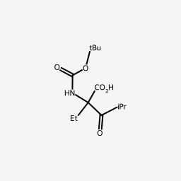 CCC(NC(=O)OC(C)(C)C)(C(=O)O)C(=O)C(C)C